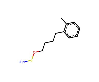 Cc1ccccc1CCCCOSN